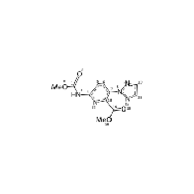 COC(=O)Nc1ccc(-n2nccn2)c(C(=O)OC)n1